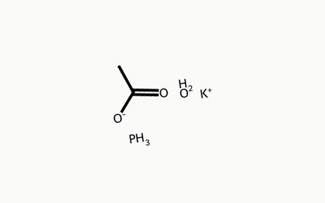 CC(=O)[O-].O.P.[K+]